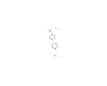 COC(=O)c1ccc(-c2ccc(COC=O)cc2)cc1